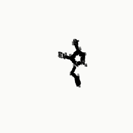 C#CCn1n[c]c(Br)c1CC